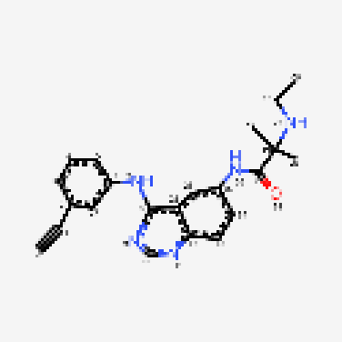 C#Cc1cccc(Nc2ncnc3ccc(NC(=O)C(C)(C)NCC)cc23)c1